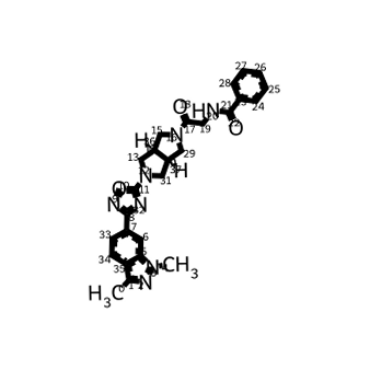 Cc1nn(C)c2cc(-c3noc(N4C[C@H]5CN(C(=O)CNC(=O)c6ccccc6)C[C@H]5C4)n3)ccc12